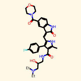 CCN(CC)CC(O)CNC(=O)c1c(C)[nH]c(C=C2C(=O)Nc3ccc(C(=O)N4CCOCC4)cc32)c1-c1ccc(F)cc1